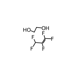 FC(F)=C(F)C(F)F.OCCO